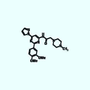 COc1ccc(-c2nc(NC(=O)CN3CCN(C)CC3)cc(-n3cccn3)n2)cc1OC